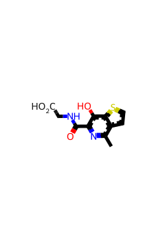 Cc1nc(C(=O)NCC(=O)O)c(O)c2sccc12